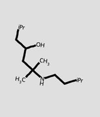 CC(C)CCNC(C)(C)CC(O)CC(C)C